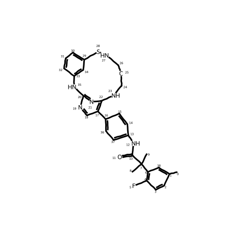 Cc1ccc(F)c(C(C)(C)C(=O)Nc2ccc(-c3cnc4nc3NCCCNSc3cccc(c3)N4)cc2)c1